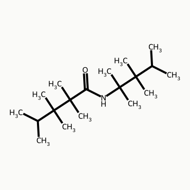 CC(C)C(C)(C)C(C)(C)NC(=O)C(C)(C)C(C)(C)C(C)C